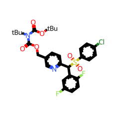 CC(C)(C)OC(=O)N(C(=O)OCc1ccc(C(c2cc(F)ccc2F)S(=O)(=O)c2ccc(Cl)cc2)nc1)C(C)(C)C